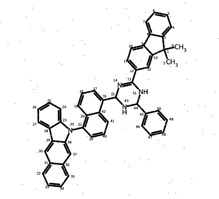 CC1(C)c2ccccc2-c2ccc(C3=NC(c4cccc5c(-n6c7ccccc7c7cc8ccccc8cc76)cccc45)NC(c4ccccc4)N3)cc21